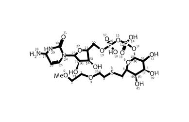 COCCOCCSCC1O[C@H](OP(=O)(O)OP(=O)(O)OCC2OC(N3C=CC(N)NC3=O)[C@H](O)[C@@H]2O)C(O)[C@@H](O)[C@H]1O